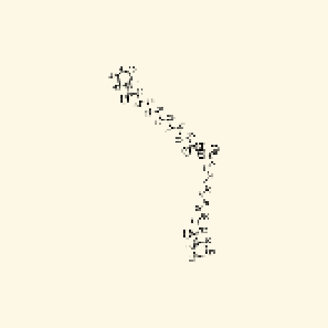 O=C(CCCCCCCCCCCC(=O)c1ccccc1)OOC(=O)CCCCCCCCCCCC(=O)c1ccccc1